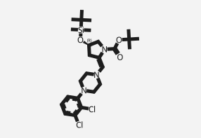 CC(C)(C)OC(=O)N1C[C@H](O[Si](C)(C)C(C)(C)C)CC1=CN1CCN(c2cccc(Cl)c2Cl)CC1